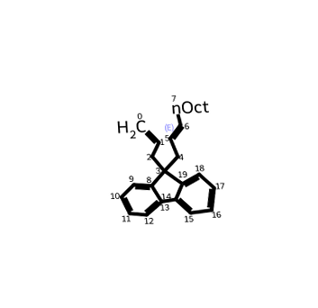 C=CCC1(C/C=C/CCCCCCCC)c2ccccc2-c2ccccc21